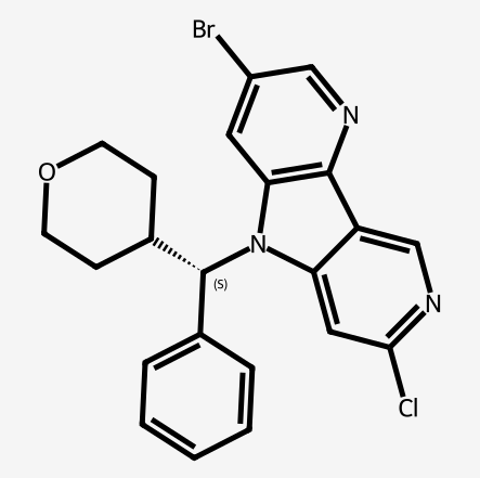 Clc1cc2c(cn1)c1ncc(Br)cc1n2[C@H](c1ccccc1)C1CCOCC1